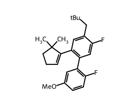 COc1ccc(F)c(-c2cc(F)c(CC(C)(C)C)cc2C2=CCCC2(C)C)c1